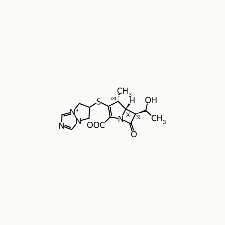 CC(O)[C@H]1C(=O)N2C(C(=O)[O-])=C(SC3Cn4cnc[n+]4C3)[C@H](C)[C@H]12